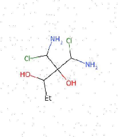 CCC(O)C(O)(C(N)Cl)C(N)Cl